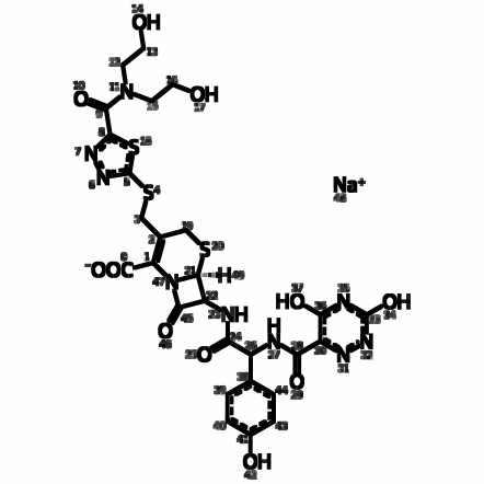 O=C([O-])C1=C(CSc2nnc(C(=O)N(CCO)CCO)s2)CS[C@H]2C(NC(=O)C(NC(=O)c3nnc(O)nc3O)c3ccc(O)cc3)C(=O)N12.[Na+]